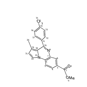 COC(=O)c1ccc2c(c1)nc(-c1ccc(C(F)(F)F)cc1)c1c(C)ccn12